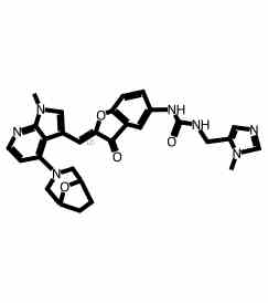 Cn1cncc1CNC(=O)Nc1ccc2c(c1)C(=O)/C(=C/c1cn(C)c3nccc(N4CC5CCC(C4)O5)c13)O2